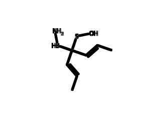 CC=CC(BN)(C=CC)SO